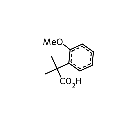 COc1ccccc1C(C)(C)C(=O)O